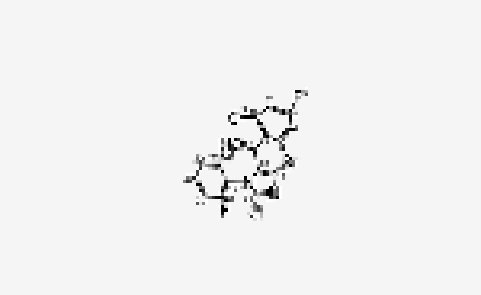 OC(c1ccc(F)cc1Cl)c1c(Br)nc(Cl)n1-c1c(F)cccc1Cl